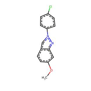 COc1ccc2cn(-c3ccc(Cl)cc3)nc2c1